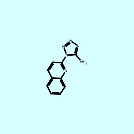 Nc1nnnn1-c1ccc2ccccc2n1